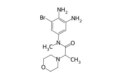 CC(C(=O)N(C)c1cc(N)c(N)c(Br)c1)N1CCOCC1